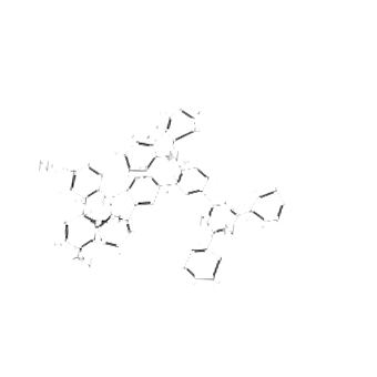 N#Cc1ccc(-n2c3ccccc3c3cc(-c4cc(-c5nc(-c6ccccc6)nc(-c6ccccc6)n5)ccc4-n4c5ccccc5c5ccccc54)ccc32)c(-c2ccc(C#N)cc2C(F)(F)F)c1